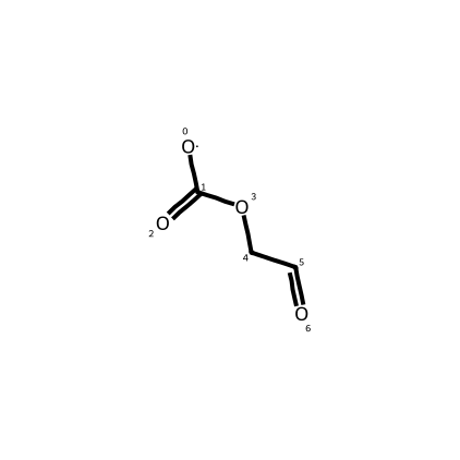 [O]C(=O)OCC=O